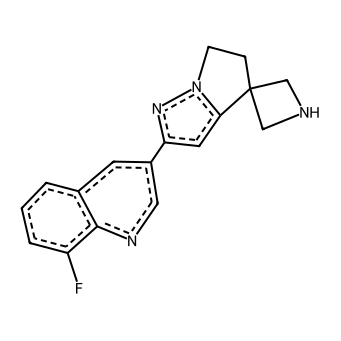 Fc1cccc2cc(-c3cc4n(n3)CCC43CNC3)cnc12